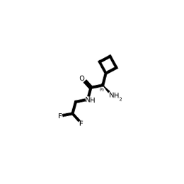 N[C@@H](C(=O)NCC(F)F)C1CCC1